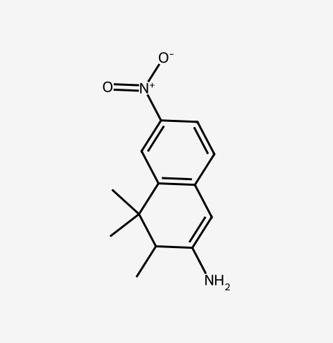 CC1C(N)=Cc2ccc([N+](=O)[O-])cc2C1(C)C